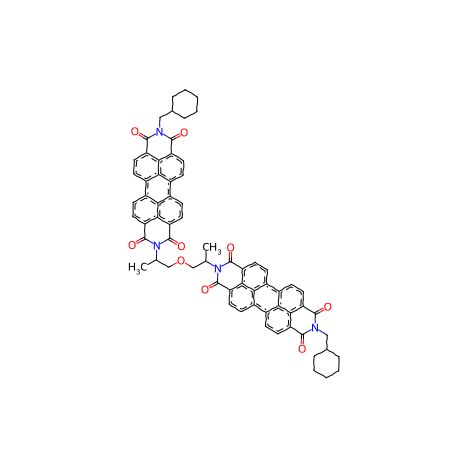 CC(COCC(C)N1C(=O)c2ccc3c4ccc5c6c(ccc(c7ccc(c2c37)C1=O)c64)C(=O)N(CC1CCCCC1)C5=O)N1C(=O)c2ccc3c4ccc5c6c(ccc(c7ccc(c2c37)C1=O)c64)C(=O)N(CC1CCCCC1)C5=O